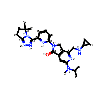 CC(C)N(C)c1cc2c(c(CNC3CC3)n1)CN(c1cccc(-c3nnc4n3C(C)(C)CC4)n1)C2=O